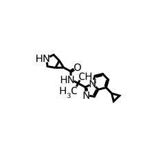 CC(C)(NC(=O)C1C2CNCC21)c1ncc2c(C3CC3)cccn12